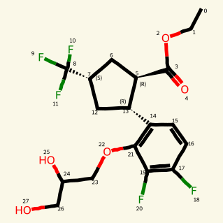 CCOC(=O)[C@@H]1C[C@@H](C(F)(F)F)C[C@H]1c1ccc(F)c(F)c1OCC(O)CO